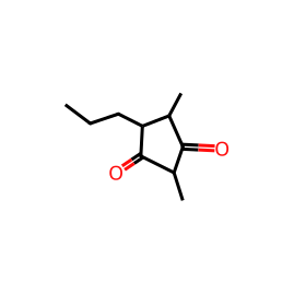 CCCC1C(=O)C(C)C(=O)C1C